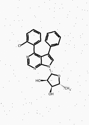 C[C@H]1O[C@@H](n2cc(-c3ccccc3)c3c(-c4ccccc4Cl)ncnc32)[C@H](O)[C@@H]1O